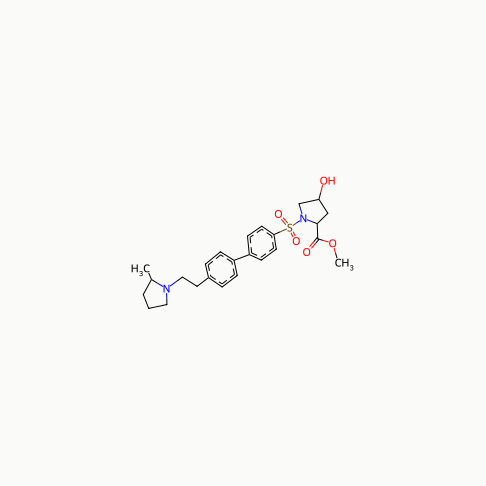 COC(=O)C1CC(O)CN1S(=O)(=O)c1ccc(-c2ccc(CCN3CCCC3C)cc2)cc1